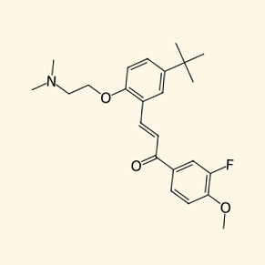 COc1ccc(C(=O)C=Cc2cc(C(C)(C)C)ccc2OCCN(C)C)cc1F